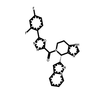 O=C(c1nnc(-c2ccc(F)cc2F)o1)N1CCc2[nH]cnc2[C@@H]1c1cc2ccccn2n1